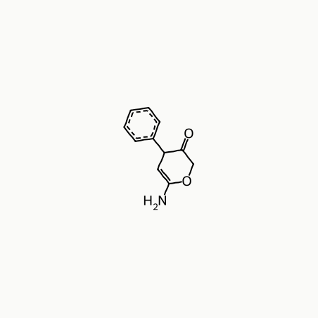 NC1=CC(c2ccccc2)C(=O)CO1